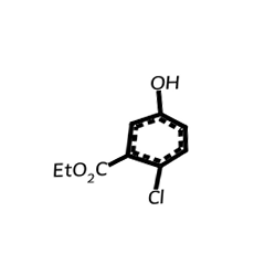 CCOC(=O)c1cc(O)ccc1Cl